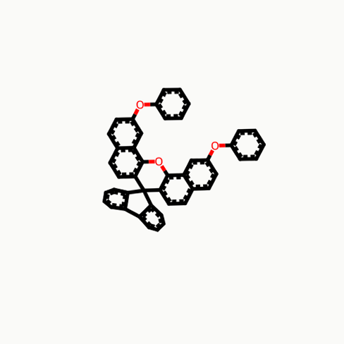 c1ccc(Oc2ccc3ccc4c(c3c2)Oc2c(ccc3ccc(Oc5ccccc5)cc23)C42c3ccccc3-c3ccccc32)cc1